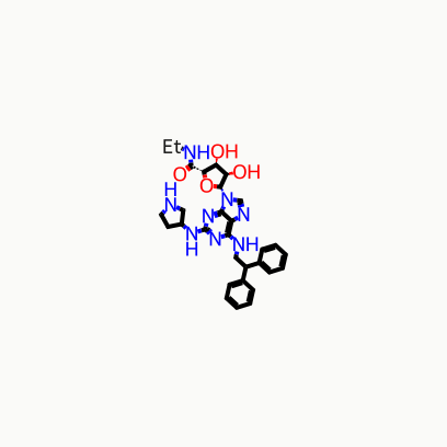 CCNC(=O)[C@H]1O[C@@H](n2cnc3c(NCC(c4ccccc4)c4ccccc4)nc(NC4CCNC4)nc32)[C@H](O)[C@H]1O